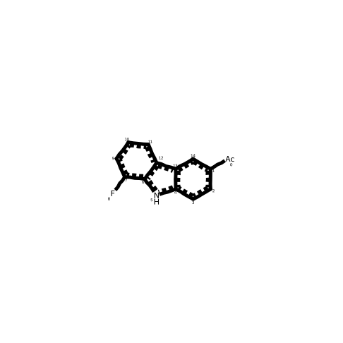 CC(=O)c1ccc2[nH]c3c(F)cccc3c2c1